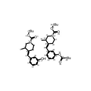 CC1CN(C(=O)OC(C)(C)C)CCC1=Cc1cccc(O)c1.CC1CN(C(=O)OC(C)(C)C)CCC1=Cc1cccc(OC(=O)C(C)(C)C)c1